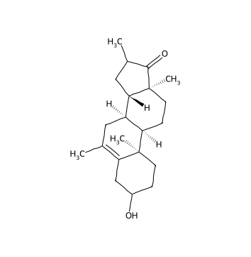 CC1=C2CC(O)CC[C@]2(C)[C@@H]2CC[C@]3(C)C(=O)C(C)C[C@H]3[C@@H]2C1